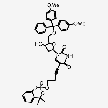 COc1ccc(C(OCC2OC(n3cc(C#CCCOP4(=O)Oc5ccccc5C(C)(C)O4)c(=O)[nH]c3=O)CC2O)(c2ccccc2)c2ccc(OC)cc2)cc1